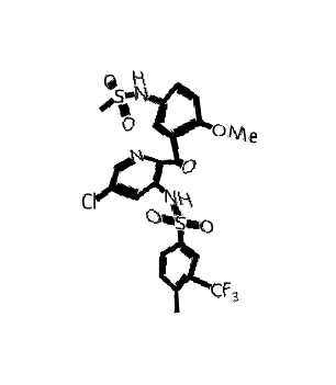 COc1ccc(NS(C)(=O)=O)cc1C(=O)c1ncc(Cl)cc1NS(=O)(=O)c1ccc(C)c(C(F)(F)F)c1